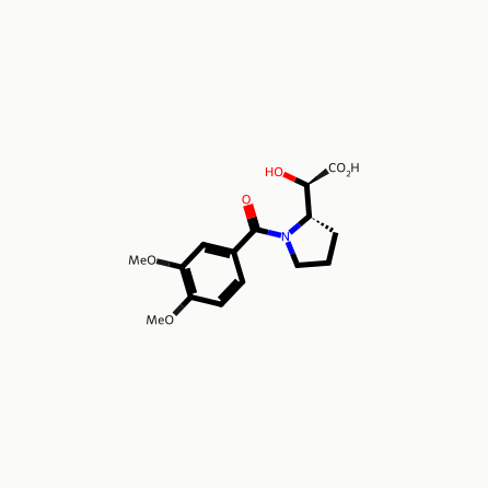 COc1ccc(C(=O)N2CCC[C@H]2[C@@H](O)C(=O)O)cc1OC